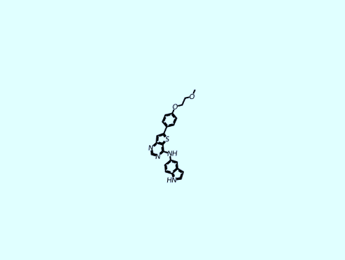 COCCOc1ccc(-c2cc3ncnc(Nc4ccc5[nH]ccc5c4)c3s2)cc1